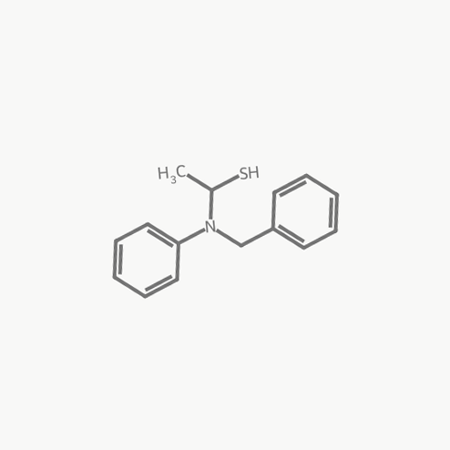 CC(S)N(Cc1ccccc1)c1ccccc1